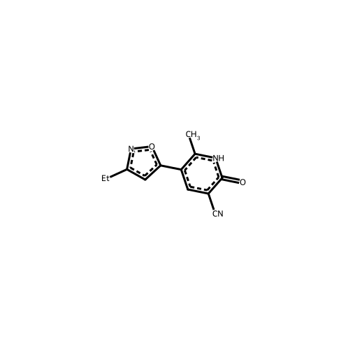 CCc1cc(-c2cc(C#N)c(=O)[nH]c2C)on1